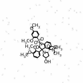 COc1ccc(S(=O)(=O)N2C(=O)C(c3cccc(OC)c3OC)(N3C[C@H](O)C[C@H]3C(=O)N(C)C)c3cc(Cl)ccc32)c(OC)c1